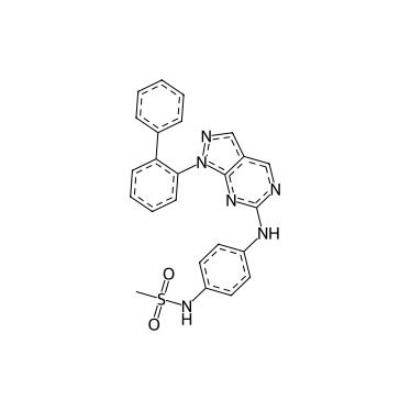 CS(=O)(=O)Nc1ccc(Nc2ncc3cnn(-c4ccccc4-c4ccccc4)c3n2)cc1